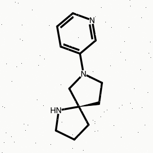 c1cncc(N2CC[C@]3(CCCN3)C2)c1